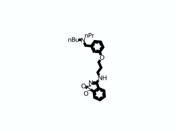 CCCCN(CCC)Cc1cccc(OCCCNC2=NS(=O)(=O)c3ccccc32)c1